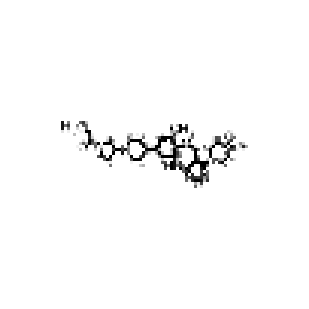 C=CC(=O)N1CCC(N2CCC(c3cc(C)c4c(c3)Nc3ncnc(N5CCS(=O)(=O)CC5)c3CO4)CC2)C1